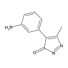 CC1=C(c2cccc(N)c2)C(=O)N=N1